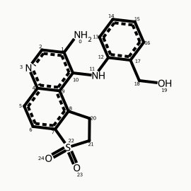 Nc1cnc2ccc3c(c2c1Nc1ccccc1CO)CCS3(=O)=O